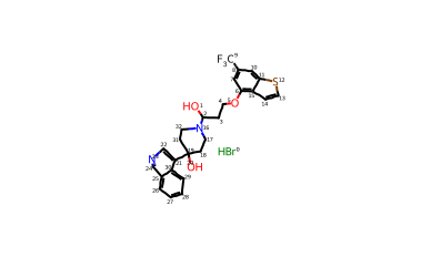 Br.OC(CCOc1cc(C(F)(F)F)cc2sccc12)N1CCC(O)(c2cncc3ccccc23)CC1